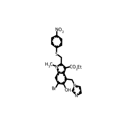 CCOC(=O)c1c(CSc2ccc([N+](=O)[O-])cc2)n(C)c2cc(Br)c(O)c(Cn3ccnc3)c12